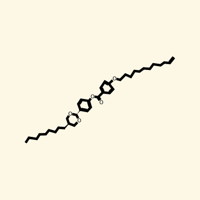 C=CCCCCCCCCCCOc1ccc(C(=O)Oc2ccc([C@H]3OC[C@H](CCCCCCCCC)CO3)cc2)cc1